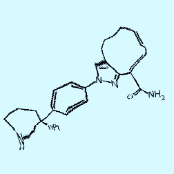 CCC[C@]1(c2ccc(-n3cc4c(n3)/C(C(N)=O)=C\C=C\CC4)cc2)CCCNC1